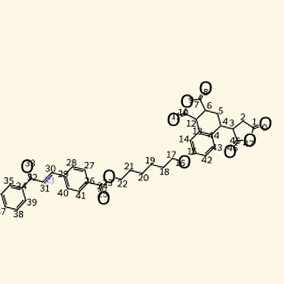 O=C1CC(C2CC3C(=O)OC(=O)C3c3cc(OCCCCCCOC(=O)c4ccc(/C=C/C(=O)c5ccccc5)cc4)ccc32)C(=O)O1